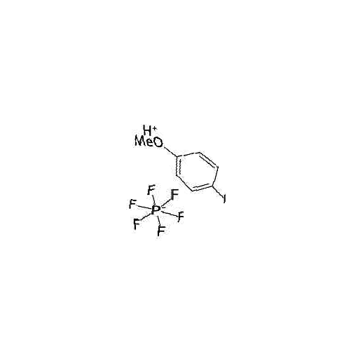 COc1ccc(I)cc1.F[P-](F)(F)(F)(F)F.[H+]